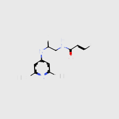 Cc1cc(NC(C)CNC(=O)C=CC(F)(F)F)cc(C)n1